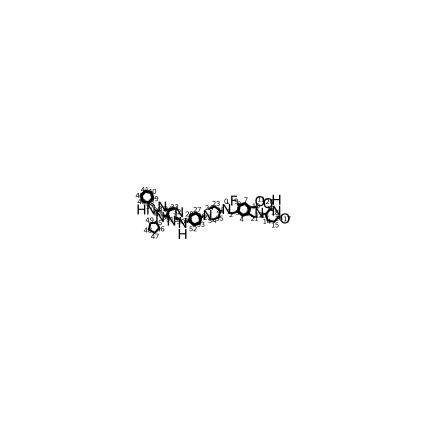 CN(Cc1cc2c(cc1F)C(=O)N(C1CCC(=O)NC1=O)C2)C1CCN(c2ccc(Nc3ncc4nc(Nc5ccccc5)n(C5CCCC5)c4n3)cc2)CC1